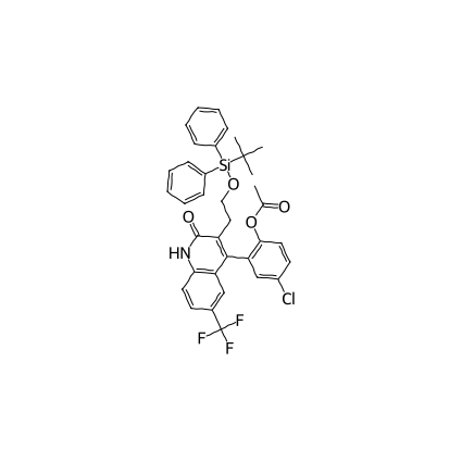 CC(=O)Oc1ccc(Cl)cc1-c1c(CCO[Si](c2ccccc2)(c2ccccc2)C(C)(C)C)c(=O)[nH]c2ccc(C(F)(F)F)cc12